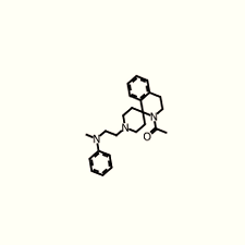 CC(=O)N1CCc2ccccc2C12CCN(CCN(C)c1ccccc1)CC2